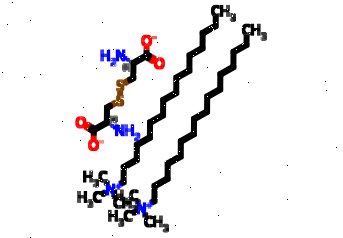 CCCCCCCCCCCCCCCC[N+](C)(C)C.CCCCCCCCCCCCCCCC[N+](C)(C)C.N[C@@H](CSSC[C@H](N)C(=O)[O-])C(=O)[O-]